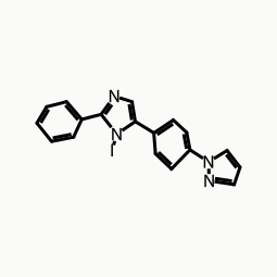 In1c(-c2ccc(-n3cccn3)cc2)cnc1-c1ccccc1